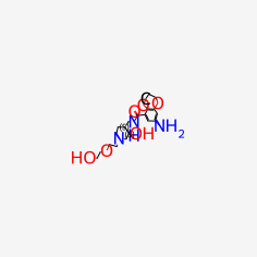 Nc1cc2c(c(C(=O)NC[C@@H]3CCN(CCOCCO)C[C@H]3O)c1)OCCCO2